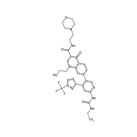 CCNC(=O)Nc1cc(-c2nc(C(F)(F)F)cs2)c(-c2ccc3c(=O)c(C(=O)NCCN4CCOCC4)cn(CCO)c3c2)cn1